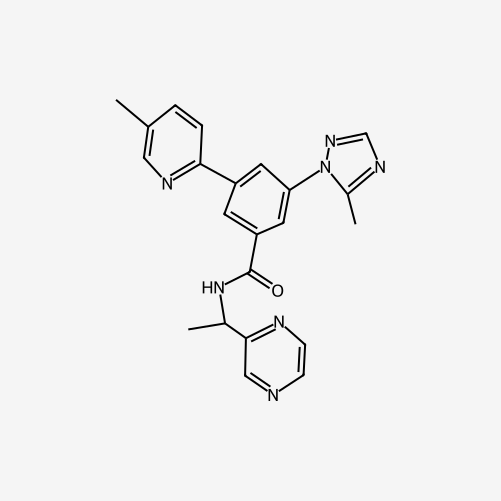 Cc1ccc(-c2cc(C(=O)NC(C)c3cnccn3)cc(-n3ncnc3C)c2)nc1